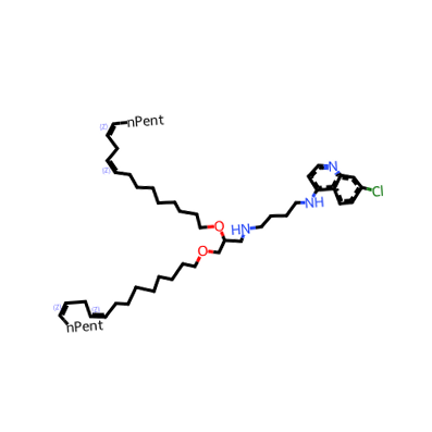 CCCCC/C=C\C/C=C\CCCCCCCCOCC(CNCCCCNc1ccnc2cc(Cl)ccc12)OCCCCCCCC/C=C\C/C=C\CCCCC